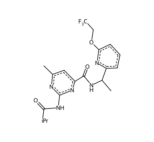 Cc1cc(C(=O)NC(C)c2cccc(OCC(F)(F)F)n2)nc(NC(=O)C(C)C)n1